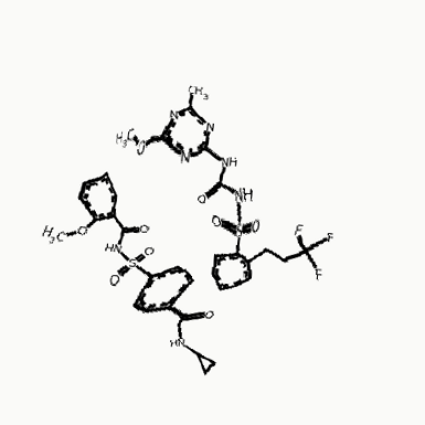 COc1ccccc1C(=O)NS(=O)(=O)c1ccc(C(=O)NC2CC2)cc1.COc1nc(C)nc(NC(=O)NS(=O)(=O)c2ccccc2CCC(F)(F)F)n1